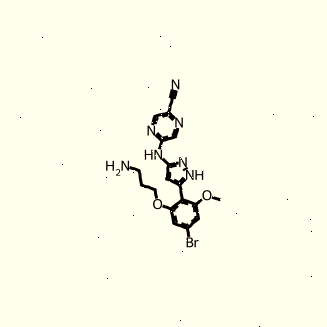 COc1cc(Br)cc(OCCCN)c1-c1cc(Nc2cnc(C#N)cn2)n[nH]1